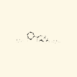 COc1cccc(-c2cn3nc(OC)sc3n2)c1